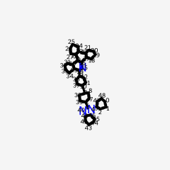 c1ccc(-n2c(-c3ccc(-c4ccc(-c5nc6c7ccccc7c7ccccc7c6c6ccccc56)cc4)cc3)nc3ccccc32)cc1